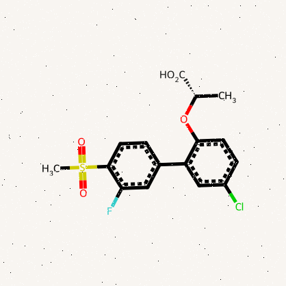 C[C@H](Oc1ccc(Cl)cc1-c1ccc(S(C)(=O)=O)c(F)c1)C(=O)O